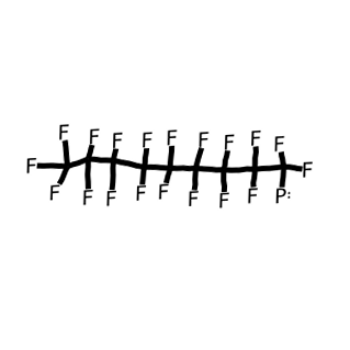 FC(F)(F)C(F)(F)C(F)(F)C(F)(F)C(F)(F)C(F)(F)C(F)(F)C(F)(F)C(F)(F)[P]